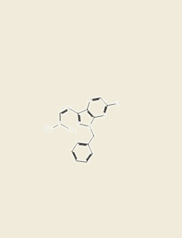 CN(C)/C=N\c1nn(Cc2ccccc2)c2nc(Cl)cnc12